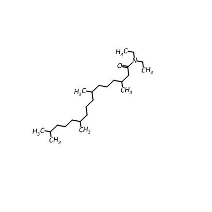 CCN(CC)C(=O)CC(C)CCCC(C)CCCC(C)CCCC(C)C